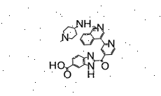 CN1CCC(N)CC1.O=C(O)c1ccc2nc(C(=O)c3ccnc(-c4cncc5ccccc45)c3)[nH]c2c1